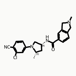 C[C@H]1C[C@@H](NC(=O)c2ccc3c(c2)CN(C)C3)CN1c1ccc(C#N)c(Cl)c1